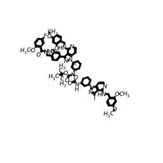 COc1ccc(CNc2nccc3c2c(I)nn3[C@@H]2CCC[C@@H](NC(=O)ON(C(=O)OC(C)(C)C)[C@@H]3CCC[C@@H](n4nc(-c5ccc(CNC(=O)c6cc(F)ccc6OC)cc5)c5c(NCc6ccc(OC)cc6OC)nccc54)C3)C2)c(OC)c1